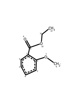 [CH2]Oc1ccccc1C(=O)OCC